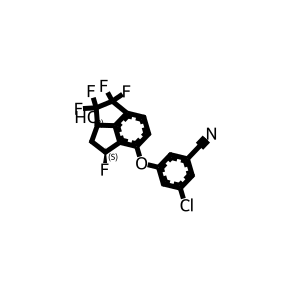 N#Cc1cc(Cl)cc(Oc2ccc3c4c2[C@@H](F)C[C@]4(O)C(F)(F)C3(F)F)c1